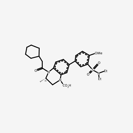 CCN(CC)S(=O)(=O)c1cc(-c2ccc3c(c2)N(C(=O)O)C[C@H](C)N3C(=O)CC2CCCCC2)ccc1OC